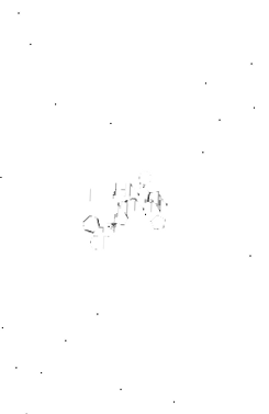 C[C@@H](c1nc2c(cnn2C2CCCC2)c(=O)[nH]1)N1CC[C@@H](Oc2ccccc2Cl)C1